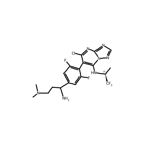 C[C@H](Nc1c(-c2c(F)cc(C(N)CCN(C)C)cc2F)c(Cl)nc2ncnn12)C(F)(F)F